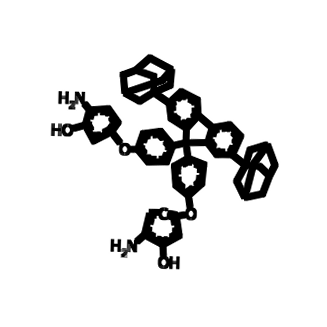 Nc1ccc(Oc2ccc(C3(c4ccc(Oc5ccc(N)c(O)c5)cc4)c4cc(C56CC7CC(CC(C7)C5)C6)ccc4-c4ccc(C56CC7CC(CC(C7)C5)C6)cc43)cc2)cc1O